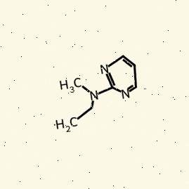 [CH2]CN(C)c1ncccn1